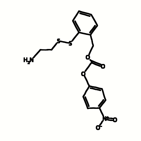 NCCSSc1ccccc1COC(=O)Oc1ccc([N+](=O)[O-])cc1